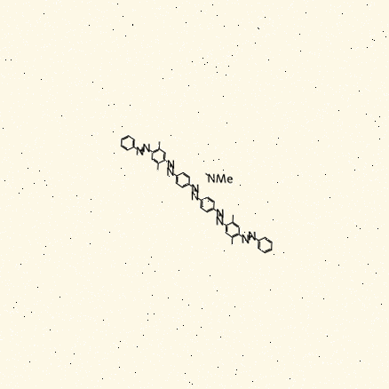 CNC.Cc1cc(N=Nc2ccc(N=Nc3ccc(N=Nc4cc(C)c(N=Nc5ccccc5)cc4C)cc3)cc2)c(C)cc1N=Nc1ccccc1